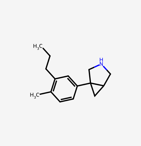 CCCc1cc(C23CNCC2C3)ccc1C